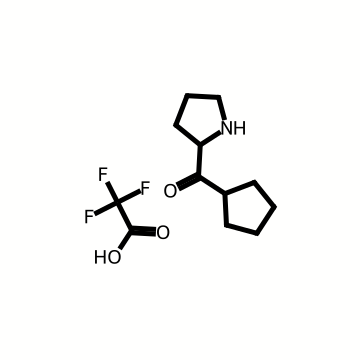 O=C(C1CCCC1)C1CCCN1.O=C(O)C(F)(F)F